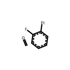 C=O.CCc1ccccc1F